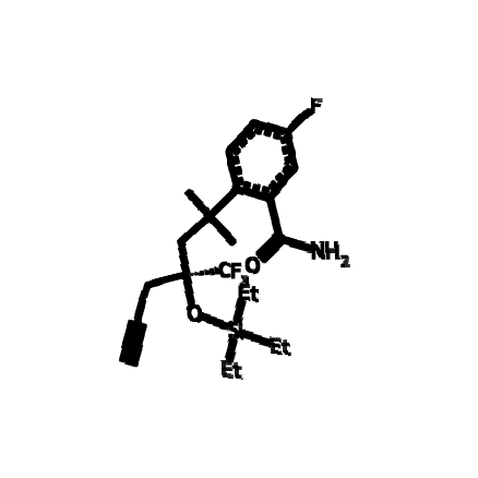 C#CC[C@@](CC(C)(C)c1ccc(F)cc1C(N)=O)(O[Si](CC)(CC)CC)C(F)(F)F